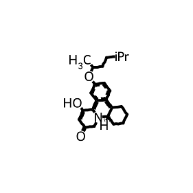 CC(C)CCC(C)Oc1ccc2c(c1)=C1C(O)=CC(=O)CN1[C@H]1CCCCC=21